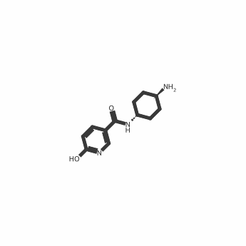 N[C@H]1CC[C@H](NC(=O)c2ccc(O)nc2)CC1